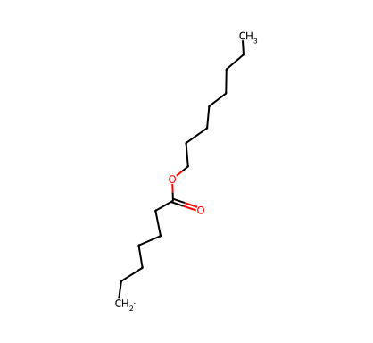 [CH2]CCCCCC(=O)OCCCCCCCC